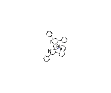 CC1(/C=C\c2cnc(-c3ccccc3)cc2-c2ccccc2)CN=C(c2ccccc2)C=C1c1cccc2ccccc12